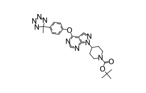 CC(C)(C)OC(=O)N1CCC(n2ncc3c(Oc4ccc(C5(C)N=NN=N5)cc4)ncnc32)CC1